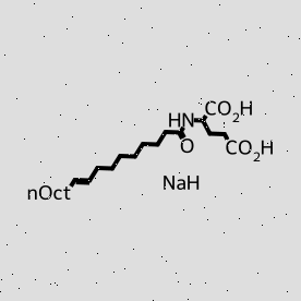 CCCCCCCCC=CCCCCCCCC(=O)NC(CCC(=O)O)C(=O)O.[NaH]